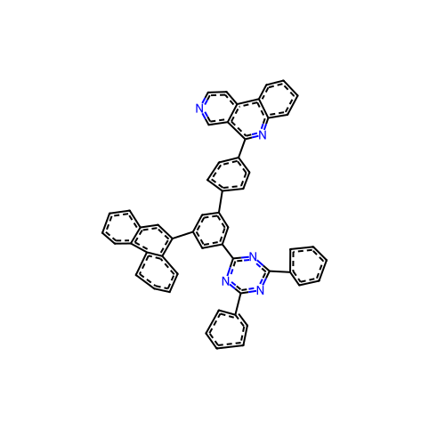 c1ccc(-c2nc(-c3ccccc3)nc(-c3cc(-c4ccc(-c5nc6ccccc6c6ccncc56)cc4)cc(-c4cc5ccccc5c5ccccc45)c3)n2)cc1